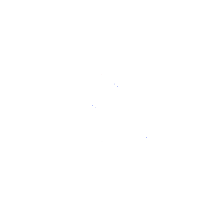 Cc1cc(CC2CN(C(=O)OC(C)(C)C)CC2NCCN(Cc2ccccc2)C(=O)OC(C)(C)C)nc(NC(=O)OC(C)(C)C)c1